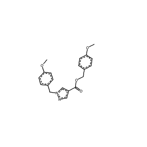 COc1ccc(COC(=O)c2cnn(Cc3ccc(OC)cc3)c2)cc1